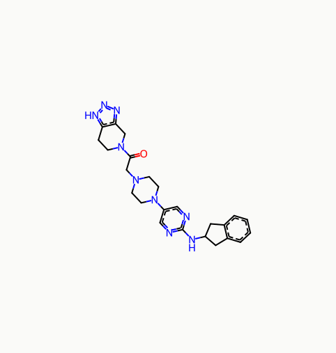 O=C(CN1CCN(c2cnc(NC3Cc4ccccc4C3)nc2)CC1)N1CCc2[nH]nnc2C1